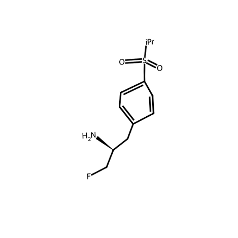 CC(C)S(=O)(=O)c1ccc(C[C@H](N)CF)cc1